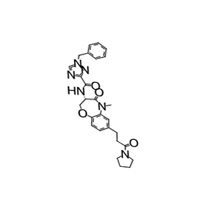 CN1C(=O)[C@@H](NC(=O)c2ncn(Cc3ccccc3)n2)COc2ccc(CCC(=O)N3CCCC3)cc21